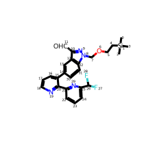 C[Si](C)(C)CCOCn1nc(C=O)c2cc(-c3cccnc3-c3cccc(C(F)F)n3)ccc21